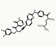 CN(C)CCN(C)C(=O)c1ccc(Nc2ncc3cc(C#CCN(Cc4ccc(F)c(F)c4)C(=O)c4cnc[nH]c4=O)ccc3n2)cc1